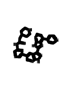 O=C(CC1CCNCC1)Nc1cncc(-c2cnc3[nH]nc(-c4nc5c(-c6ccncc6)ccnc5[nH]4)c3c2)c1